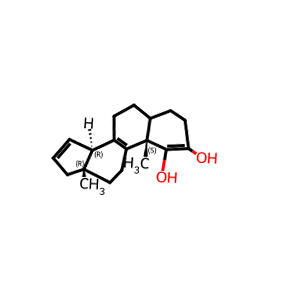 C[C@]12C(O)=C(O)CCC1CCC1=C2CC[C@]2(C)CC=C[C@@H]12